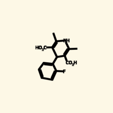 CC1=C(C(=O)O)C(c2ccccc2F)C(C(=O)O)=C(C)N1